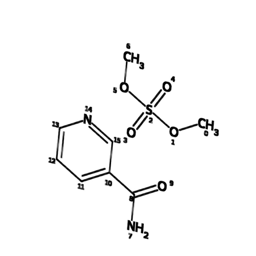 COS(=O)(=O)OC.NC(=O)c1cccnc1